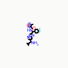 Cc1nonc1C(=O)N[C@H](c1cn2ncc(C(N)C3CC3)cc2n1)C1CCC(F)(F)CC1